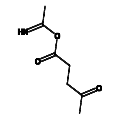 CC(=N)OC(=O)CCC(C)=O